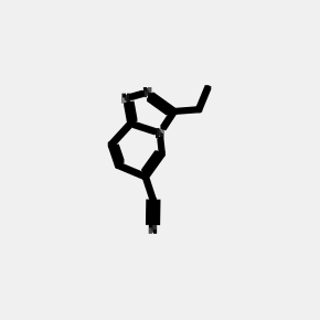 CCc1nnc2ccc(C#N)cn12